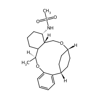 C[C@@H]1Oc2ccccc2[C@H]2CC[C@H](CC2)OC[C@@H]2C1CCC[C@@H]2NS(C)(=O)=O